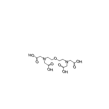 O=C(O)CN(CCOCCN(CC(=O)O)CC(=O)O)CC(=O)O